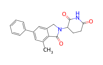 Cc1cc(-c2ccccc2)cc2c1C(=O)N(C1CCC(=O)NC1=O)C2